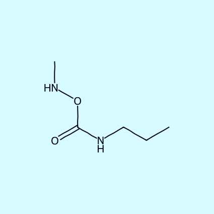 CCCNC(=O)ONC